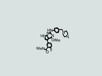 CNC(=O)c1cc(-c2c[nH]c3nc(Nc4ccc(CN5CCN(C)CC5)cc4)nc(OC)c23)ccc1F